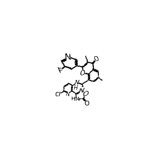 Cc1cc([C@@H](C)Nc2ccc(Cl)nc2-c2noc(=O)[nH]2)c2oc(-c3cncc(F)c3)c(C)c(=O)c2c1